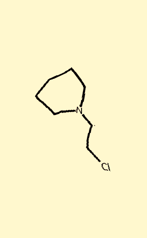 ClC[CH]N1CCCCC1